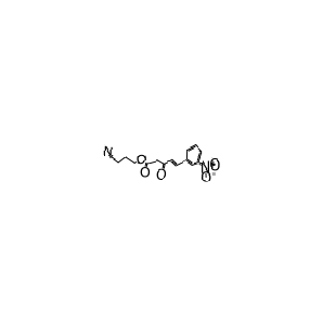 N#CCCCOC(=O)CC(=O)C=Cc1cccc([N+](=O)[O-])c1